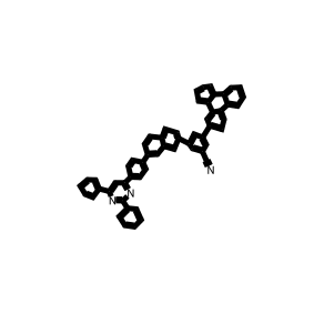 N#Cc1cc(-c2ccc3ccc(-c4ccc(-c5cc(-c6ccccc6)nc(-c6ccccc6)n5)cc4)cc3c2)cc(-c2ccc3c4ccccc4c4ccccc4c3c2)c1